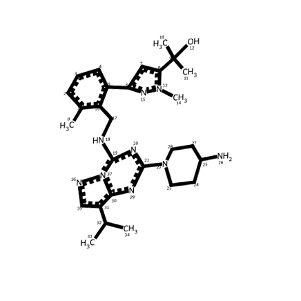 Cc1cccc(-c2cc(C(C)(C)O)n(C)n2)c1CNc1nc(N2CCC(N)CC2)nc2c(C(C)C)cnn12